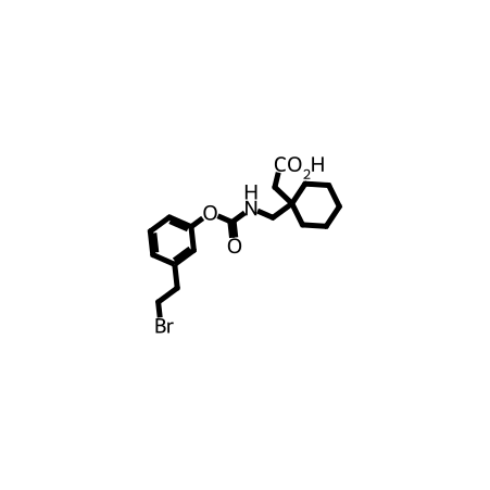 O=C(O)CC1(CNC(=O)Oc2cccc(CCBr)c2)CCCCC1